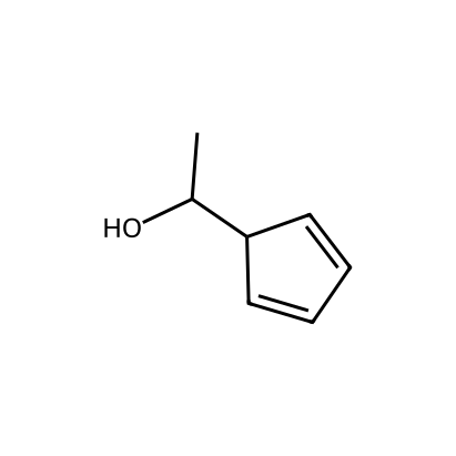 CC(O)C1C=CC=C1